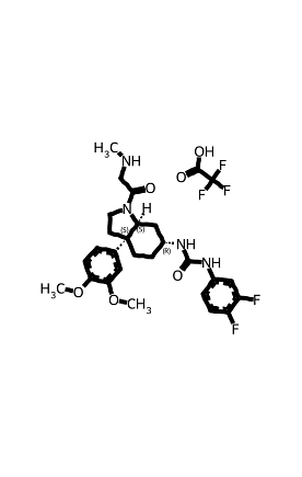 CNCC(=O)N1CC[C@]2(c3ccc(OC)c(OC)c3)CC[C@@H](NC(=O)Nc3ccc(F)c(F)c3)C[C@H]12.O=C(O)C(F)(F)F